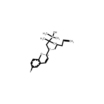 C=CCCC[C@@H](CC(C)(C)[Si](C)(C)O)[C@@H]1C=Cc2cc(F)ccc2O1